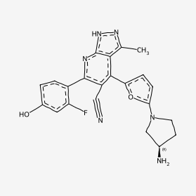 Cc1n[nH]c2nc(-c3ccc(O)cc3F)c(C#N)c(-c3ccc(N4CC[C@@H](N)C4)o3)c12